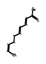 C/C=C\CC/C=C/C=C/C(=O)O